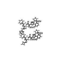 COc1cccc(OC)c1-c1cc(C(=O)N[C@@H](CCN2CCCCC2)CC(=O)NCc2ncco2)nn1C1CCCC1.COc1cccc(OC)c1-c1cc(C(=O)N[C@@H](CCN2CCCCC2)CC(=O)OC2CCC2)nn1C1CCCC1